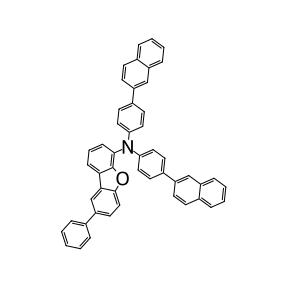 c1ccc(-c2ccc3oc4c(N(c5ccc(-c6ccc7ccccc7c6)cc5)c5ccc(-c6ccc7ccccc7c6)cc5)cccc4c3c2)cc1